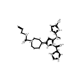 C=CCOC(=O)N1CCCC(c2cc(N(C)c3ccc(Cl)s3)n(C(=O)c3cscn3)n2)CC1